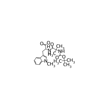 Cn1cc(CC(NC(=O)C(C)(C)NC(=O)OC(C)(C)C)C(=O)O)c2ccccc21